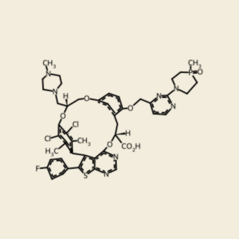 Cc1c(Cl)c2c(Cl)c(C)c1-c1c(-c3ccc(F)cc3)sc3ncnc(c13)O[C@@H](C(=O)O)Cc1cc(ccc1OCc1ccnc(N3CCP(C)(=O)CC3)n1)OC[C@@H](CN1CCN(C)CC1)O2